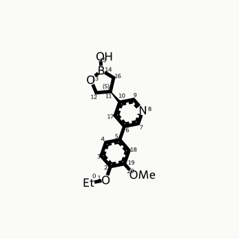 CCOc1ccc(-c2cncc([C@H]3COB(O)C3)c2)cc1OC